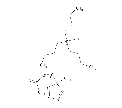 CC(=O)[O-].CCCC[PH](C)(CCCC)CCCC.C[N+]1(C)C=CN=C1